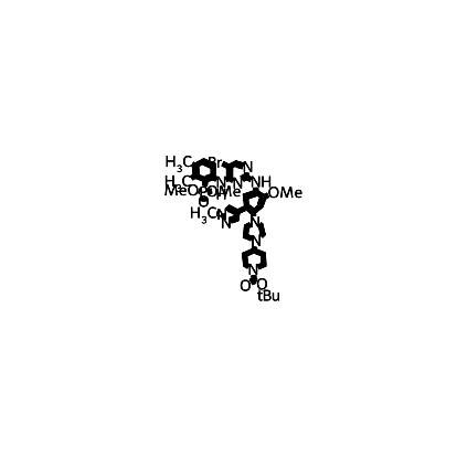 COc1cc(N2CCN(C3CCN(C(=O)OC(C)(C)C)CC3)CC2)c(-c2cnn(C)c2)cc1Nc1ncc(Br)c(Nc2ccc(C)c(C)c2P(=O)(OC)OC)n1